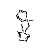 C[N+]1(C[N+]2(C)C=CN=C2)C=CN=C1